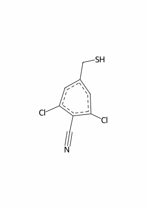 N#Cc1c(Cl)cc(CS)cc1Cl